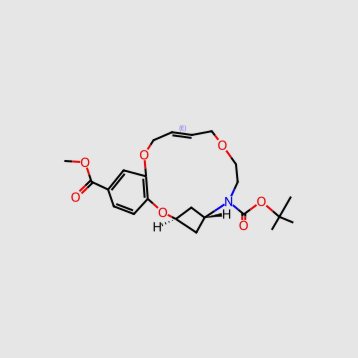 COC(=O)c1ccc2c(c1)OC/C=C/COCCN(C(=O)OC(C)(C)C)[C@H]1C[C@@H](C1)O2